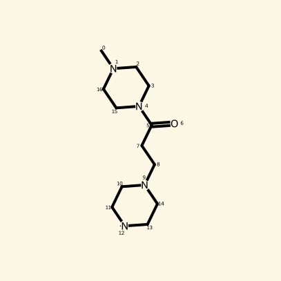 CN1CCN(C(=O)CCN2CC[N]CC2)CC1